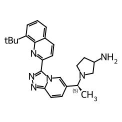 C[C@@H](c1ccc2nnc(-c3ccc4cccc(C(C)(C)C)c4n3)n2c1)N1CCC(N)C1